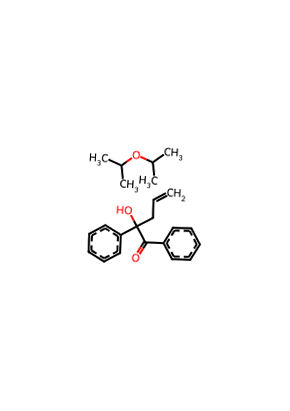 C=CCC(O)(C(=O)c1ccccc1)c1ccccc1.CC(C)OC(C)C